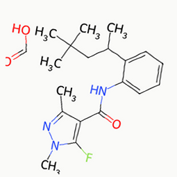 Cc1nn(C)c(F)c1C(=O)Nc1ccccc1C(C)CC(C)(C)C.O=CO